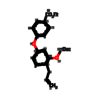 C=CCc1ccc(Oc2ccc(C(=O)OCC)cc2)cc1OCCCCCCCCCC